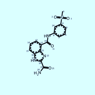 CS(=O)(=O)c1cccc(NC(=O)c2cccc3[nH]c(C(N)=O)nc23)c1